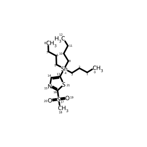 CCC[CH2][Sn]([CH2]CCC)([CH2]CCC)[c]1cnc(S(C)(=O)=O)s1